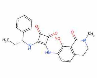 CC[C@@H](Nc1c(Nc2ccc3c(c2O)C(=O)N(C)CC3)c(=O)c1=O)c1ccccc1